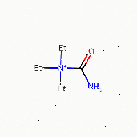 CC[N+](CC)(CC)C(N)=O